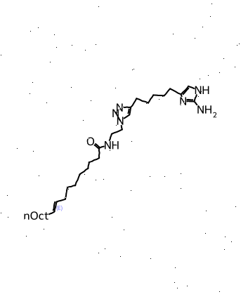 CCCCCCCC/C=C/CCCCCCCC(=O)NCCn1cc(CCCCCc2c[nH]c(N)n2)nn1